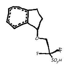 O=S(=O)(O)C(F)(F)COC1CCc2ccccc21